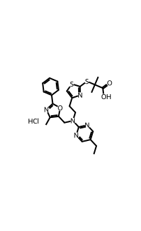 CCc1cnc(N(CCc2csc(SC(C)(C)C(=O)O)n2)Cc2oc(-c3ccccc3)nc2C)nc1.Cl